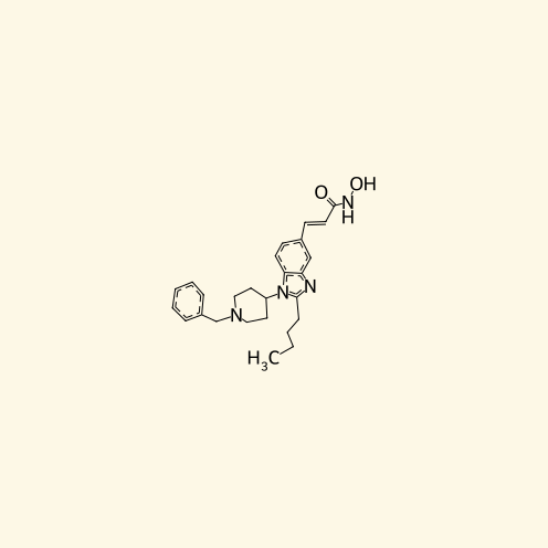 CCCCc1nc2cc(C=CC(=O)NO)ccc2n1C1CCN(Cc2ccccc2)CC1